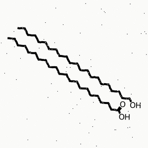 CCCCCCCCCCCCCCCCCCCCCC(=O)O.CCCCCCCCCCCCCCCCCCCCCCO